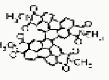 Cn1c(=O)c2ccc3c4ccc5c(=O)n(C)c(=O)c6cc7c8c9cc%10c(=O)n(C)c(=O)c%11ccc%12c%13ccc%14c(=O)n(C)c(=O)c%15cc(c8c8cc(c1=O)c2c3c8c7c4c56)c(c%13c%14%15)c9c%12c%11%10